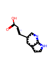 O=C(O)/C=C/c1cnc2[nH]ccc2c1